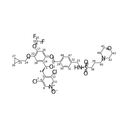 O=C(O[C@@H](Cc1c(Cl)c[n+]([O-])cc1Cl)c1ccc(OC(F)F)c(OCC2CC2)c1)c1ccc(CNS(=O)(=O)CCCN2CCOCC2)cc1